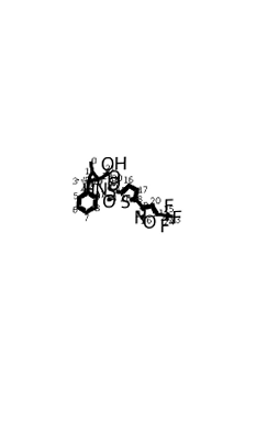 CC1[C@](C)(c2ccccc2)[C@]1(NS(=O)(=O)c1ccc(-c2cc(C(F)(F)F)on2)s1)C(=O)O